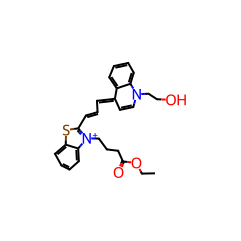 CCOC(=O)CCC[n+]1c(/C=C/C=C2\C=CN(CCO)c3ccccc32)sc2ccccc21